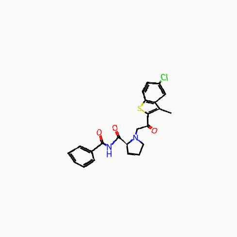 Cc1c(C(=O)CN2CCC[C@H]2C(=O)NC(=O)c2ccccc2)sc2ccc(Cl)cc12